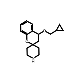 c1ccc2c(c1)OC1(CCNCC1)CC2OCC1CC1